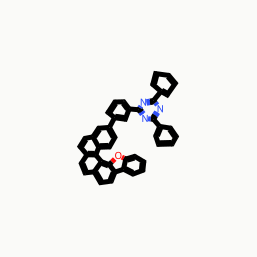 c1ccc(-c2nc(-c3ccccc3)nc(-c3cccc(-c4ccc5c(ccc6ccc7ccc8c9ccccc9oc8c7c65)c4)c3)n2)cc1